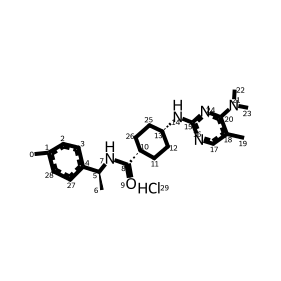 Cc1ccc([C@H](C)NC(=O)[C@H]2CC[C@@H](Nc3ncc(C)c(N(C)C)n3)CC2)cc1.Cl